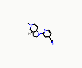 CN1CCC2[C@H](CCN2c2cc(C#N)ccn2)C1